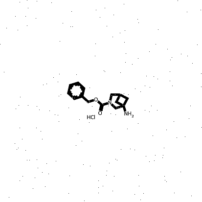 Cl.NC12CC(CN(C(=O)OCc3ccccc3)C1)C2